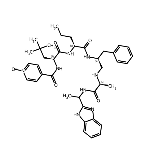 CCC[C@H](NC(=O)[C@H](CC(C)(C)C)NC(=O)c1cc[n+]([O-])cc1)C(=O)N[C@H](CN[C@@H](C)C(=O)NC(C)c1nc2ccccc2[nH]1)Cc1ccccc1